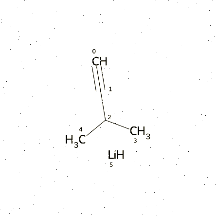 C#CC(C)C.[LiH]